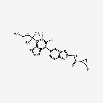 CCOC(C)(C)c1c(F)c(Cl)c(-c2cn3cc(NC(=O)C4CC4F)nc3cn2)c2cn[nH]c12